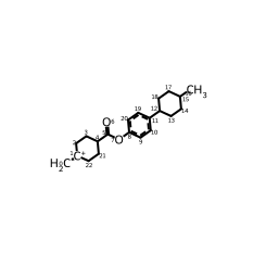 [CH2-][C+]1CCC(C(=O)Oc2ccc(C3CCC(C)CC3)cc2)CC1